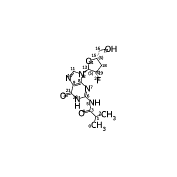 CC(C)C(=O)Nc1nc2c(ncn2[C@H]2O[C@H](CO)C[C@@H]2F)c(=O)[nH]1